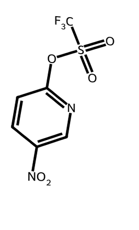 O=[N+]([O-])c1ccc(OS(=O)(=O)C(F)(F)F)nc1